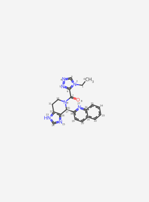 CCn1cnnc1C(=O)N1CCc2[nH]cnc2[C@@H]1c1ccc2ccccc2n1